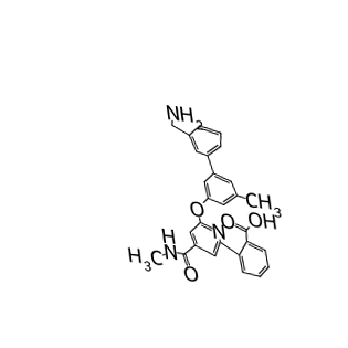 CNC(=O)c1cc(Oc2cc(C)cc(-c3cccc(CN)c3)c2)nc(-c2ccccc2C(=O)O)c1